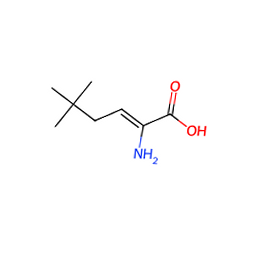 CC(C)(C)C/C=C(\N)C(=O)O